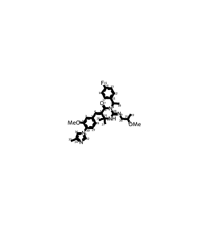 COc1cc(/C=C2/C(=O)N(C(C)c3ccc(F)cc3)/C(=N/CC(C)OC)NC2(C)C)ccc1-n1cnc(C)c1